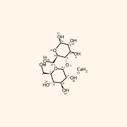 OC[C@H]1O[C@H](O[C@H]2[C@H](O)[C@@H](O)[C@H](O)O[C@@H]2CO)[C@H](O)[C@@H](O)[C@@H]1O.[CaH2]